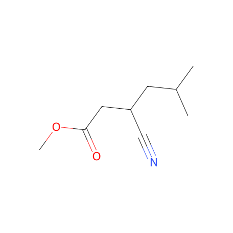 COC(=O)CC(C#N)CC(C)C